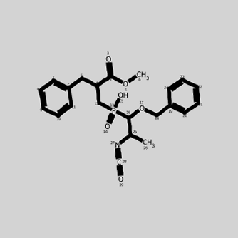 COC(=O)C(Cc1ccccc1)CP(=O)(O)C(OCc1ccccc1)C(C)N=C=O